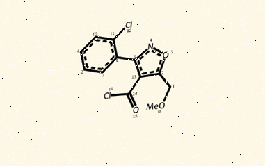 COCc1onc(-c2ccccc2Cl)c1C(=O)Cl